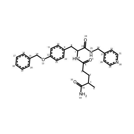 CC(C[CH]C(=O)NC(Cc1ccc(OCc2ccccc2)cc1)C(=O)NCc1ccncc1)C(N)=O